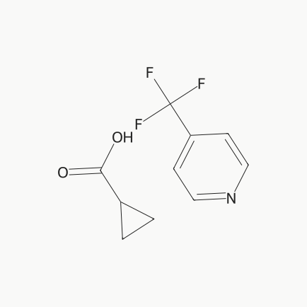 FC(F)(F)c1ccncc1.O=C(O)C1CC1